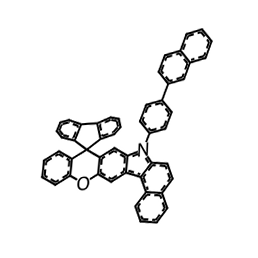 c1ccc2c(c1)Oc1cc3c4c5ccccc5ccc4n(-c4ccc(-c5ccc6ccccc6c5)cc4)c3cc1C21c2ccccc2-c2ccccc21